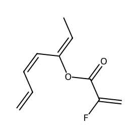 C=C/C=C\C(=C/C)OC(=O)C(=C)F